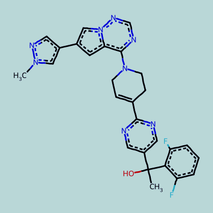 Cn1cc(-c2cc3c(N4CC=C(c5ncc(C(C)(O)c6c(F)cccc6F)cn5)CC4)ncnn3c2)cn1